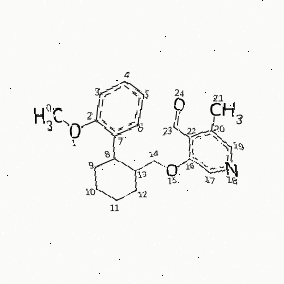 COc1ccccc1C1CCCCC1COc1cncc(C)c1C=O